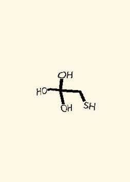 OC(O)(O)CS